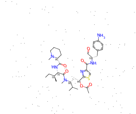 CC[C@H](C)[C@H](NC(=O)[C@H]1CCCCN1C)C(=O)N(C)[C@H](C[C@@H](OC(C)=O)c1nc(C(=O)N[C@H](C=O)Cc2ccc(N)cc2)cs1)C(C)C